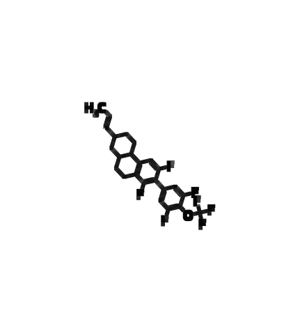 CC=CC1CCC2c3cc(F)c(-c4cc(F)c(OC(F)(F)F)c(F)c4)c(F)c3CCC2C1